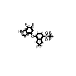 O=S(=O)(c1ccc(Oc2cc(F)c(F)c3[nH]ncc23)c2c1CC(F)(F)C2)C(F)(F)F